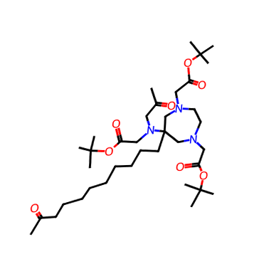 CC(=O)CCCCCCCCCC1(N(CC(C)=O)CC(=O)OC(C)(C)C)CN(CC(=O)OC(C)(C)C)CCN(CC(=O)OC(C)(C)C)C1